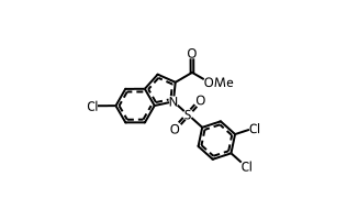 COC(=O)c1cc2cc(Cl)ccc2n1S(=O)(=O)c1ccc(Cl)c(Cl)c1